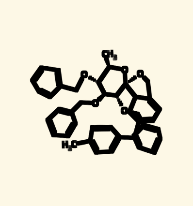 Cc1ccc(CC2=CC=C3CO[C@]4(O[C@H](C)[C@@H](OCc5ccccc5)[C@H](OCc5ccccc5)[C@H]4OCc4ccccc4)C3C2)cc1